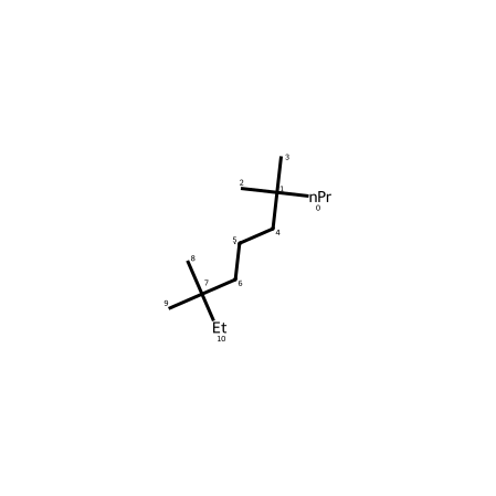 CCCC(C)(C)C[CH]CC(C)(C)CC